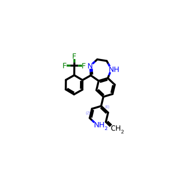 C=C/C=C(\C=C/N)c1ccc2c(c1)C(C1=CC=CCC1C(F)(F)F)=NCCN2